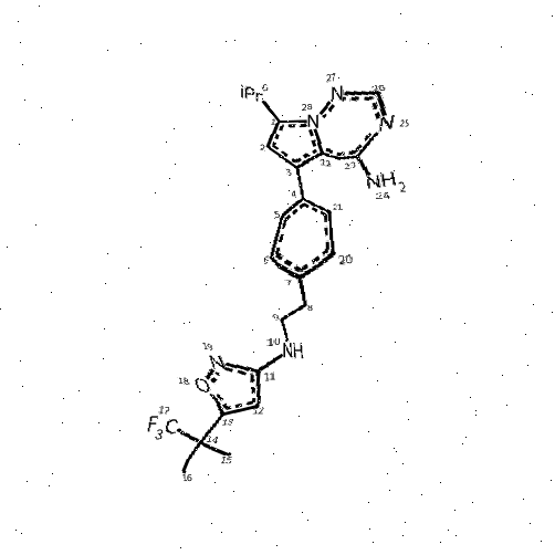 CC(C)c1cc(-c2ccc(CCNc3cc(C(C)(C)C(F)(F)F)on3)cc2)c2c(N)ncnn12